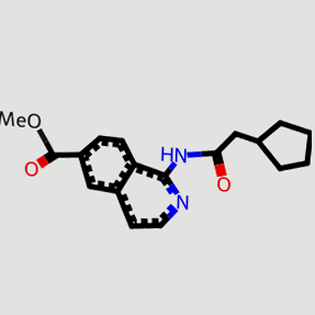 COC(=O)c1ccc2c(NC(=O)CC3CCCC3)nccc2c1